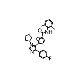 Cc1cccc(C)c1NC(=O)c1ccc(-c2c(-c3ccc(F)cc3)ncn2C2CCCC2)o1